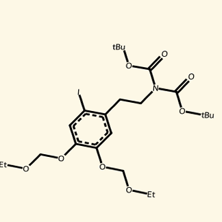 CCOCOc1cc(I)c(CCN(C(=O)OC(C)(C)C)C(=O)OC(C)(C)C)cc1OCOCC